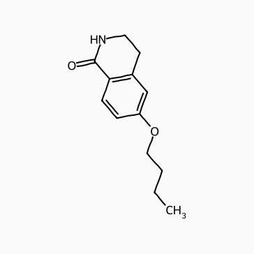 CCCCOc1ccc2c(c1)CCNC2=O